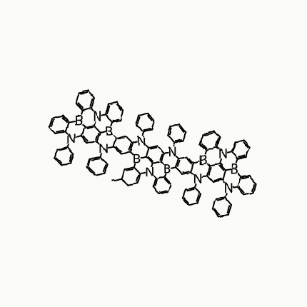 CC1C=C2B3c4cc5c(cc4N(c4ccccc4)c4cc6c7c(c43)N(C2=CC1)c1ccccc1B7c1cc2c(cc1N6c1ccccc1)B1c3ccccc3N3c4ccccc4B4c6ccccc6N(c6ccccc6)c6cc(c1c3c64)N2c1ccccc1)B1c2ccccc2N2c3ccccc3B3c4ccccc4N(c4ccccc4)c4cc(c1c2c43)N5c1ccccc1